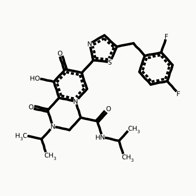 CC(C)NC(=O)C1CN(C(C)C)C(=O)c2c(O)c(=O)c(-c3ncc(Cc4ccc(F)cc4F)s3)cn21